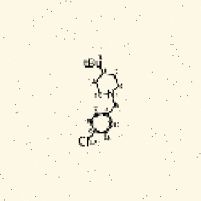 CC(C)(C)C1CCN(Cc2ccc(Cl)cc2)CC1